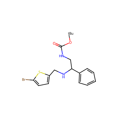 CC(C)(C)OC(=O)NCC(NCc1ccc(Br)s1)c1ccccc1